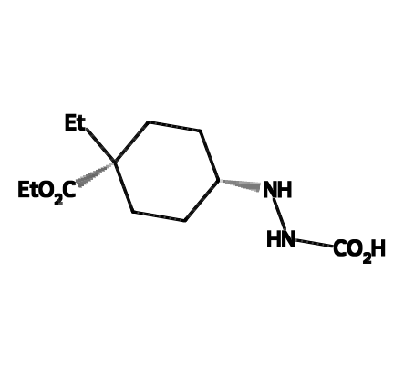 CCOC(=O)[C@]1(CC)CC[C@H](NNC(=O)O)CC1